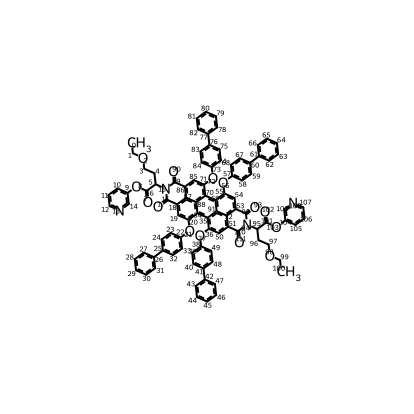 CCOCCC(C(=O)Oc1cccnc1)N1C(=O)c2cc(Oc3ccc(-c4ccccc4)cc3)c3c4c(Oc5ccc(-c6ccccc6)cc5)cc5c6c(cc(Oc7ccc(-c8ccccc8)cc7)c(c7c(Oc8ccc(-c9ccccc9)cc8)cc(c2c37)C1=O)c64)C(=O)N(C(CCOCC)C(=O)Oc1cccnc1)C5=O